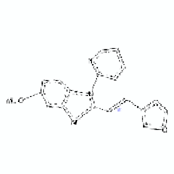 COc1ccc2c(c1)nc(/C=C/c1ccoc1)n2-c1ccccn1